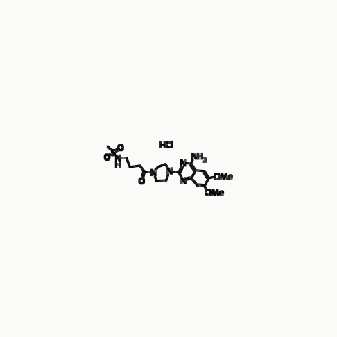 COc1cc2nc(N3CCN(C(=O)CCCNS(C)(=O)=O)CC3)nc(N)c2cc1OC.Cl